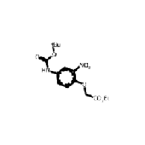 CCOC(=O)COc1ccc(NC(=O)OC(C)(C)C)cc1[N+](=O)[O-]